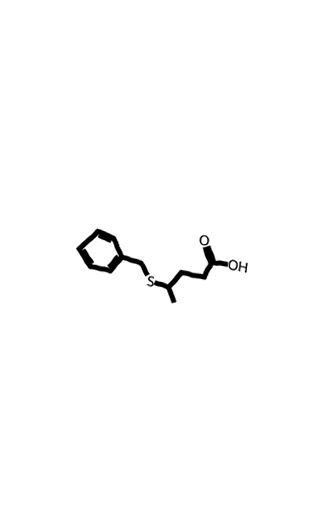 CC(CCC(=O)O)SCc1ccccc1